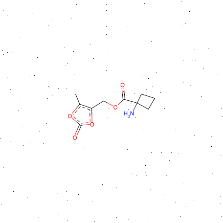 Cc1oc(=O)oc1COC(=O)C1(N)CCC1